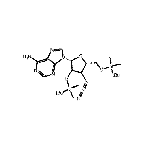 CC(C)(C)[Si](C)(C)OC[C@H]1O[C@@H](n2cnc3c(N)ncnc32)C(O[Si](C)(C)C(C)(C)C)C1N=[N+]=[N-]